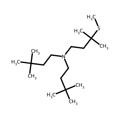 CSC(C)(C)CCN(CCC(C)(C)C)CCC(C)(C)C